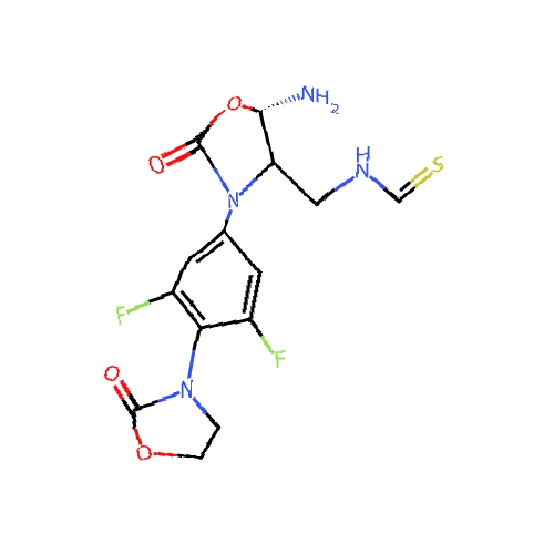 N[C@H]1OC(=O)N(c2cc(F)c(N3CCOC3=O)c(F)c2)C1CNC=S